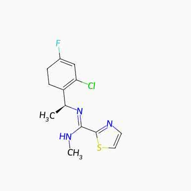 CN/C(=N\[C@@H](C)C1=C(Cl)C=C(F)CC1)c1nccs1